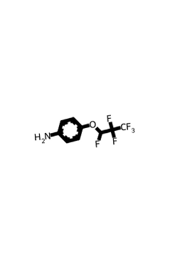 Nc1ccc(OC(F)C(F)(F)C(F)(F)F)cc1